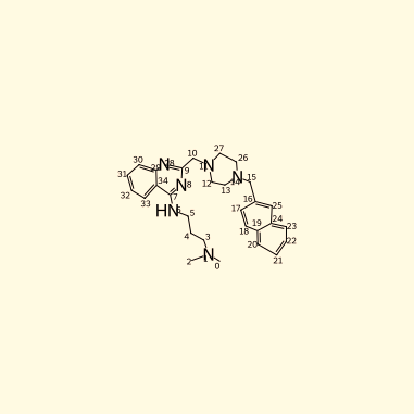 CN(C)CCCNc1nc(CN2CCN(Cc3ccc4ccccc4c3)CC2)nc2ccccc12